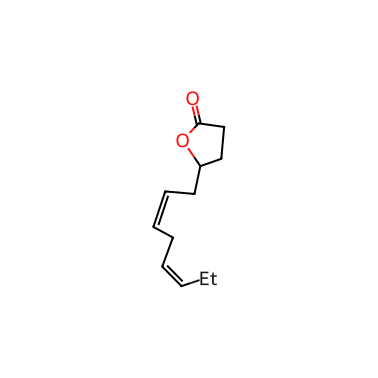 CC/C=C\C/C=C\CC1CCC(=O)O1